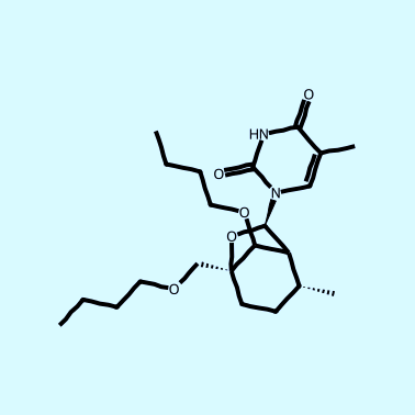 CCCCOC[C@@]12CC[C@@H](C)C(C1OCCCC)[C@H](n1cc(C)c(=O)[nH]c1=O)O2